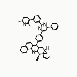 C#CC1C2N=c3c4c(ccc3=C(C3=CC=C(c5cc(-c6ccccc6)nc(-c6cccc(-c7ccc(C)nc7C)c6)n5)CC3)C2C[C@@H]2CC12/C=C\C)CCC=C4